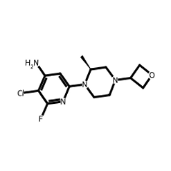 C[C@H]1CN(C2COC2)CCN1c1cc(N)c(Cl)c(F)n1